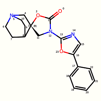 O=C1O[C@]2(CN3CCC2CC3)CN1c1ncc(-c2ccccc2)o1